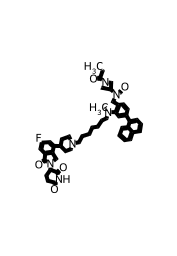 CCC(=O)N1CC(N(C=O)Cc2ccc(-c3cccc4ccccc34)cc2N(C)CCCCCCCN2CCC(c3cc(F)cc4c3CN(C3CCC(=O)NC3=O)C4=O)CC2)C1